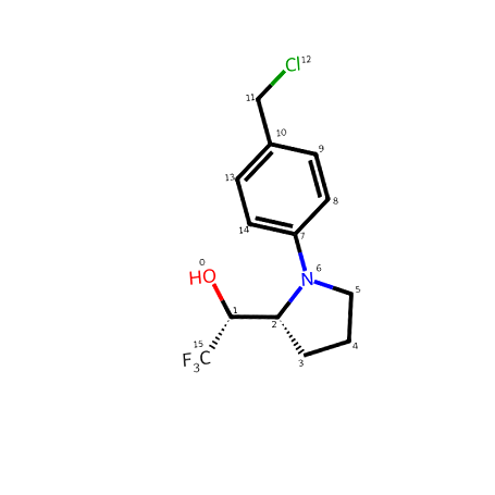 O[C@H]([C@H]1CCCN1c1ccc(CCl)cc1)C(F)(F)F